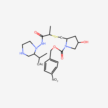 CC(=O)OC(C)C1CNCCN1NC(=O)C(C)SCC1CC(O)CN1C(=O)OCc1ccc([N+](=O)[O-])cc1